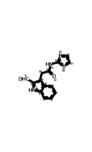 O=Cc1[nH]c2ccccc2c1CC(=O)Nc1nccs1